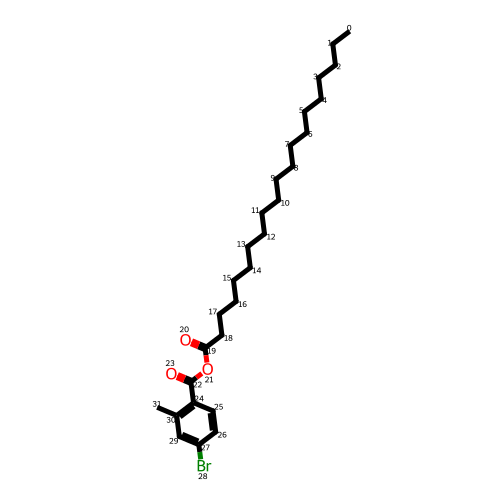 CCCCCCCCCCCCCCCCCCCC(=O)OC(=O)c1ccc(Br)cc1C